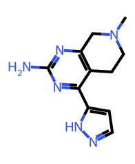 CN1CCc2c(nc(N)nc2-c2ccn[nH]2)C1